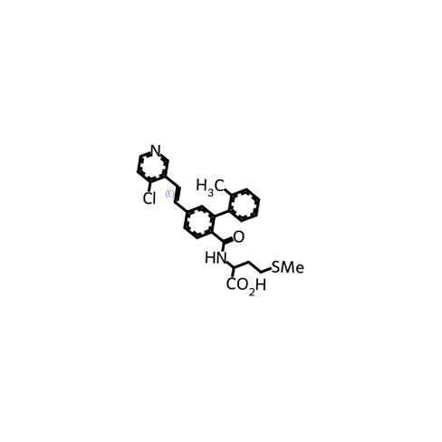 CSCCC(NC(=O)c1ccc(/C=C/c2cnccc2Cl)cc1-c1ccccc1C)C(=O)O